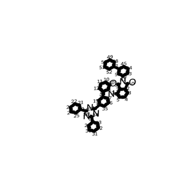 O=C1c2cccc(-n3c4ccccc4c4cc(-c5nc(-c6ccccc6)nc(-c6ccccc6)n5)ccc43)c2C(=O)N1c1cccc(-c2ccccc2)c1